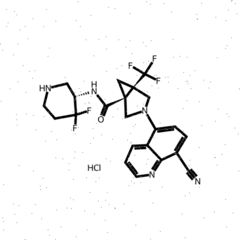 Cl.N#Cc1ccc(N2C[C@]3(C(=O)N[C@H]4CNCCC4(F)F)C[C@]3(C(F)(F)F)C2)c2cccnc12